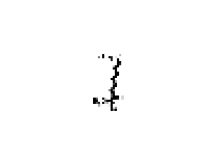 CCCCCCCCCCCCCC(=O)N(C)CC